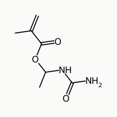 C=C(C)C(=O)OC(C)NC(N)=O